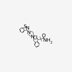 CC(C)(C(N)=O)C(Cl)c1ccccc1CCN1CCN(c2nsc3ccccc23)CC1